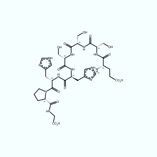 N[C@@H](CCC(=O)O)C(=O)N[C@@H](CO)C(=O)N[C@@H](CO)C(=O)N[C@@H](CO)C(=O)N[C@@H](Cc1c[nH]cn1)C(=O)N[C@@H](Cc1c[nH]cn1)C(=O)N1CCC[C@H]1C(=O)NCC(=O)O